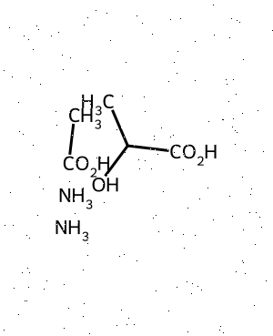 CC(=O)O.CC(O)C(=O)O.N.N